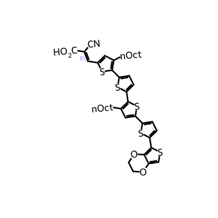 CCCCCCCCc1cc(/C=C(\C#N)C(=O)O)sc1-c1ccc(-c2sc(-c3ccc(-c4scc5c4OCCO5)s3)cc2CCCCCCCC)s1